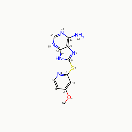 COc1ccnc(Sc2nc3c(N)ncnc3[nH]2)c1